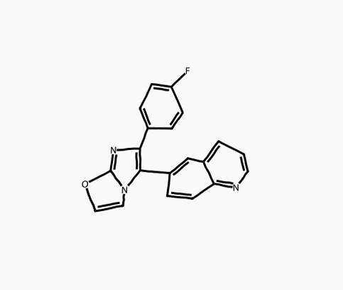 Fc1ccc(-c2nc3occn3c2-c2ccc3ncccc3c2)cc1